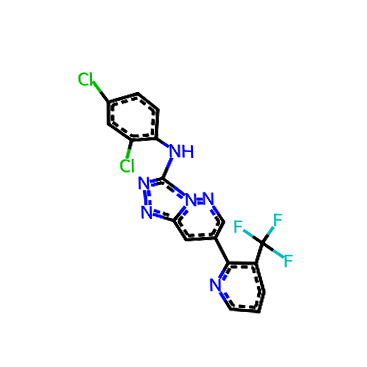 FC(F)(F)c1cccnc1-c1cnn2c(Nc3ccc(Cl)cc3Cl)nnc2c1